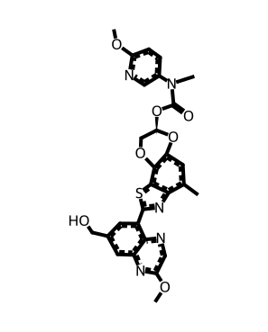 COc1ccc(N(C)C(=O)O[C@@H]2COc3c(cc(C)c4nc(-c5cc(CO)cc6nc(OC)cnc56)sc34)O2)cn1